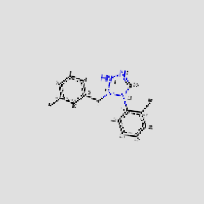 Cc1cccc(CN2NN=[C]N2c2ccccc2C)c1